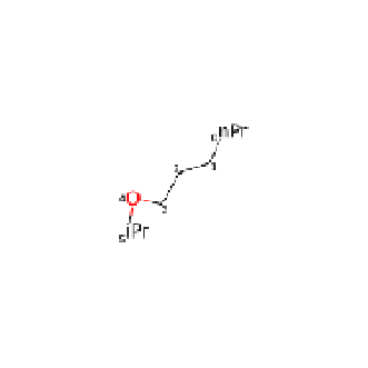 CCCCCCOC(C)C